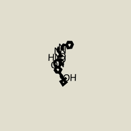 CN1C(=O)[C@H](NC(=O)c2ncn(Cc3ccccc3)n2)COc2ccc(C#CC3(O)CCC3)cc21